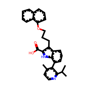 Cc1ccnc(C(C)C)c1-c1cccc2c(CCCOc3cccc4ccccc34)c(C(=O)O)[nH]c12